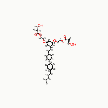 C=C(CO)C(=O)OCCOc1cc(CCc2ccc(-c3ccc(CCCCC)cc3)cc2)cc(OCCOC(=O)C(C)(C)CO)c1